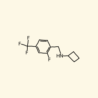 Fc1cc(C(F)(F)F)ccc1CNC1CCC1